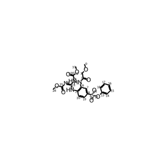 COCC(=O)Nc1cc(S(=O)(=O)Oc2ccccc2)ccc1N/C(=N\C(=O)OC)NC(=O)OC